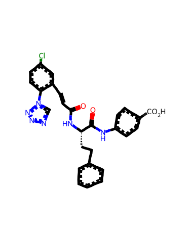 O=C(/C=C/c1cc(Cl)ccc1-n1cnnn1)N[C@@H](CCc1ccccc1)C(=O)Nc1ccc(C(=O)O)cc1